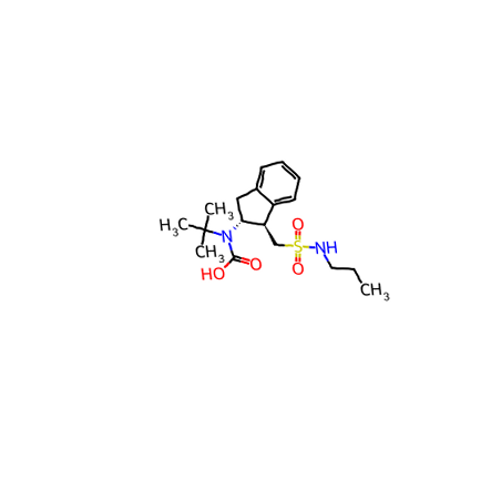 CCCNS(=O)(=O)C[C@@H]1c2ccccc2C[C@H]1N(C(=O)O)C(C)(C)C